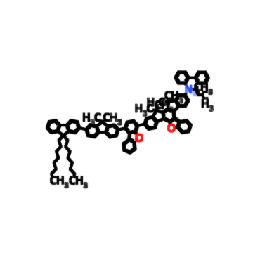 C/C=C(\C)N(c1ccc2c(c1)C(C)(C)c1c3c(c4oc5ccccc5c4c1-2)-c1ccc(-c2ccc(-c4ccc5c(c4)C(C)(C)c4cc(-c6ccc7c(c6)C(CCCCCCCC)(CCCCCCCC)c6ccccc6-7)ccc4-5)c4c2oc2ccccc24)cc1C3(C)C)c1ccccc1-c1ccccc1